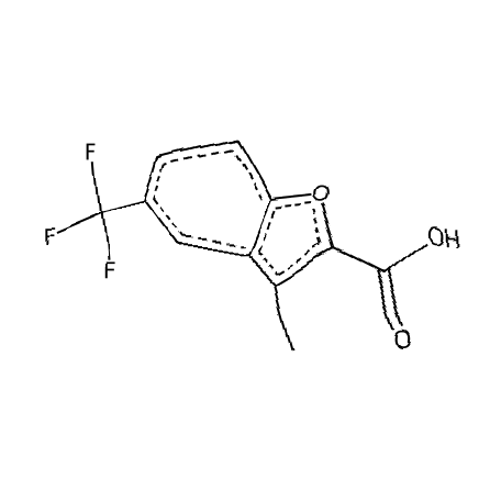 Cc1c(C(=O)O)oc2ccc(C(F)(F)F)cc12